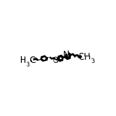 CCCCCc1ccc(-c2ccc(OCCC[C@H]3CC[C@H](CCC)CC3)cc2)nc1